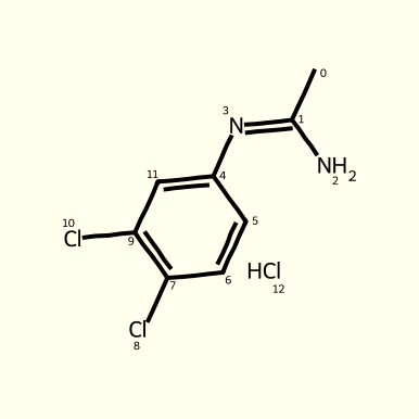 CC(N)=Nc1ccc(Cl)c(Cl)c1.Cl